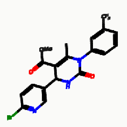 COC(=O)C1=C(C)N(c2cccc(C(F)(F)F)c2)C(=O)NC1c1ccc(Br)nc1